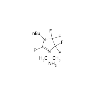 CC.CCCCN1C(F)=NC(F)(F)C1(F)F.N